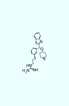 CN1CCC(OC(c2cccc(SCCNC(=N)N)c2)c2nc3ccccc3s2)CC1